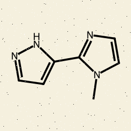 Cn1ccnc1-c1ccn[nH]1